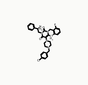 Cc1c(N2CCN(Cc3ccc(Cl)cc3)CC2)c(=O)n(C[C@H](N)c2ccccc2)c(=O)n1Cc1c(F)cccc1F